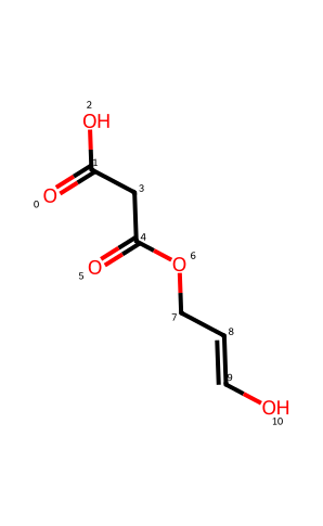 O=C(O)CC(=O)OCC=CO